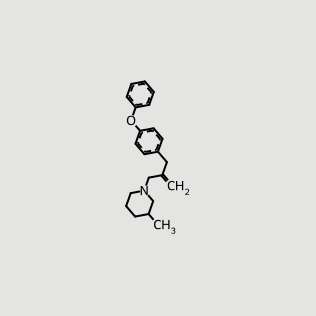 C=C(Cc1ccc(Oc2ccccc2)cc1)CN1CCCC(C)C1